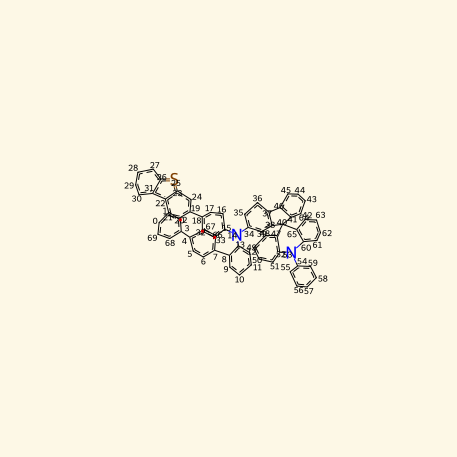 c1ccc(-c2ccc(-c3ccccc3N(c3ccc(-c4ccc5c(c4)sc4ccccc45)cc3)c3ccc4c(c3)C3(c5ccccc5-4)c4ccccc4N(c4ccccc4)c4ccccc43)cc2)cc1